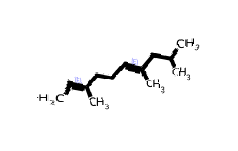 [CH2]/C=C(\C)CC/C=C(\C)CC(C)C